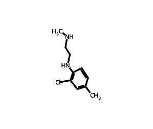 CNCCNc1ccc(C)cc1Cl